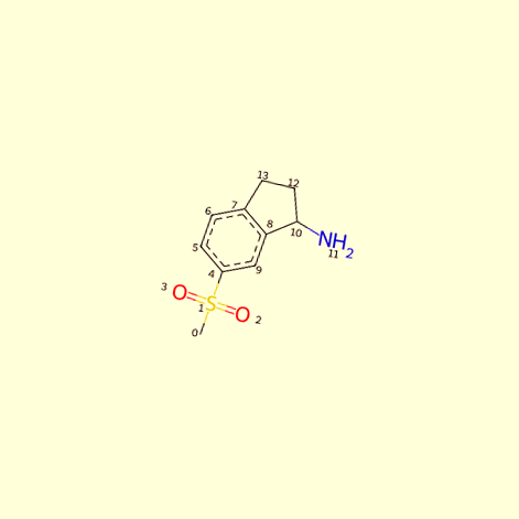 CS(=O)(=O)c1ccc2c(c1)C(N)CC2